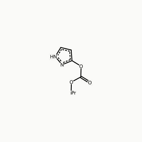 CC(C)OC(=O)Oc1cc[nH]n1